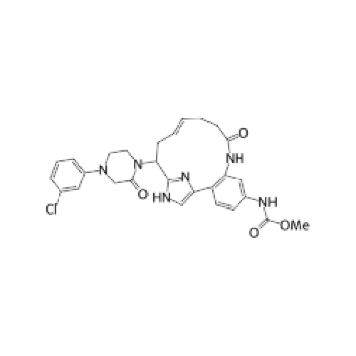 COC(=O)Nc1ccc2c(c1)NC(=O)CC/C=C/CC(N1CCN(c3cccc(Cl)c3)CC1=O)c1nc-2c[nH]1